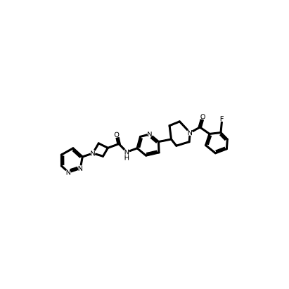 O=C(Nc1ccc(C2CCN(C(=O)c3ccccc3F)CC2)nc1)C1CN(c2cccnn2)C1